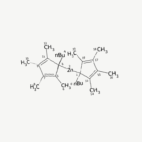 CCCC[C]1([Zn][C]2(CCCC)C(C)=C(C)C(C)=C2C)C(C)=C(C)C(C)=C1C